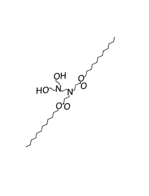 CCCCCCCCCCCCOC(=O)CCN(CCC(=O)OCCCCCCCCCCCC)CCN(CCO)CCO